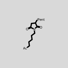 CCCC(C)C1CC(=O)N(CCCCCC(C)=O)C1=O